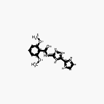 COc1cccc(OC)c1C(=O)Nc1nnc(-c2nccs2)s1